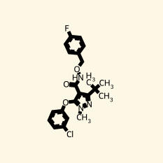 Cn1nc(C(C)(C)C)c(C(=O)NOCc2ccc(F)cc2)c1Oc1cccc(Cl)c1